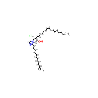 CCCCCCCC/C=C\CCCCCCCC[N+]1(CCO)CCN=C1CCCCCCCCCCCC.[Cl-]